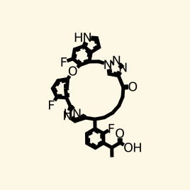 CC(C(=O)O)c1cccc(C2CCCCC(=O)c3cn(nn3)Cc3c(c(F)cc4[nH]ccc34)Oc3ccc(F)c(c3)-c3ncc2[nH]3)c1F